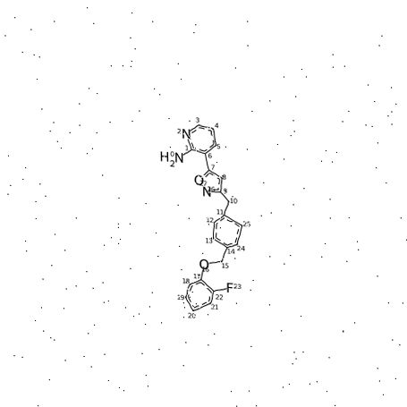 Nc1ncccc1-c1cc(Cc2ccc(COc3ccccc3F)cc2)no1